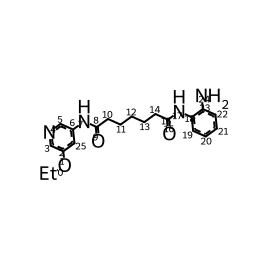 CCOc1cncc(NC(=O)CCCCCC(=O)Nc2ccccc2N)c1